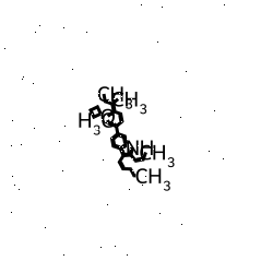 C/C=C\c1[nH]c2cc(C(/C=C\C(OC3CCC3)=C(/C)CC)=C/C)ccc2c1/C=C\CCC